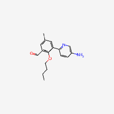 CCCCOc1c(C=O)cc(C)cc1-c1ccc(N)cn1